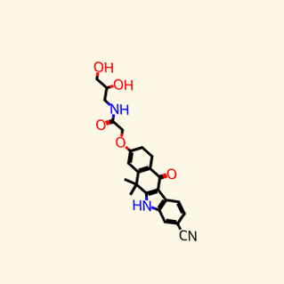 CC1(C)C2=C(CCC(OCC(=O)NCC(O)CO)=C2)C(=O)c2c1[nH]c1cc(C#N)ccc21